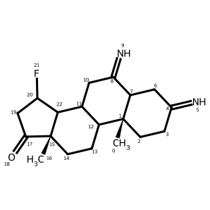 C[C@]12CCC(=N)CC1C(=N)CC1C2CC[C@]2(C)C(=O)CC(F)C12